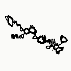 COc1cc2c(Oc3ccc(NC(=O)c4nc(-c5ccccc5)c5ccccc5n4)nc3)ccnc2cc1OCCCN1CCOCC1